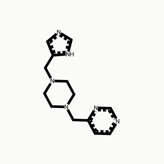 c1cc(CN2CCN(Cc3cnc[nH]3)CC2)ncn1